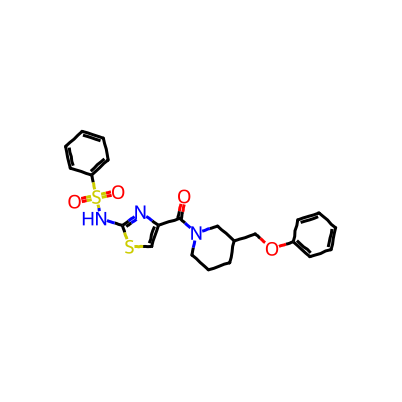 O=C(c1csc(NS(=O)(=O)c2ccccc2)n1)N1CCCC(COc2ccccc2)C1